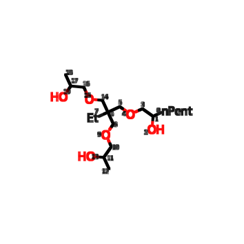 CCCCCC(O)COCC(CC)(COCC(C)O)COCC(C)O